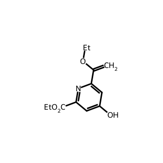 C=C(OCC)c1cc(O)cc(C(=O)OCC)n1